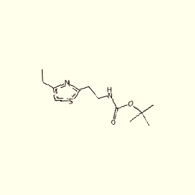 CCc1csc(CCNC(=O)OC(C)(C)C)n1